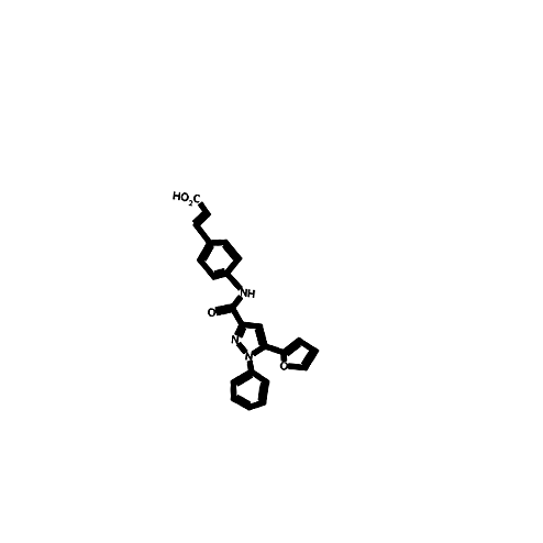 O=C(O)/C=C/c1ccc(NC(=O)c2cc(-c3ccco3)n(-c3ccccc3)n2)cc1